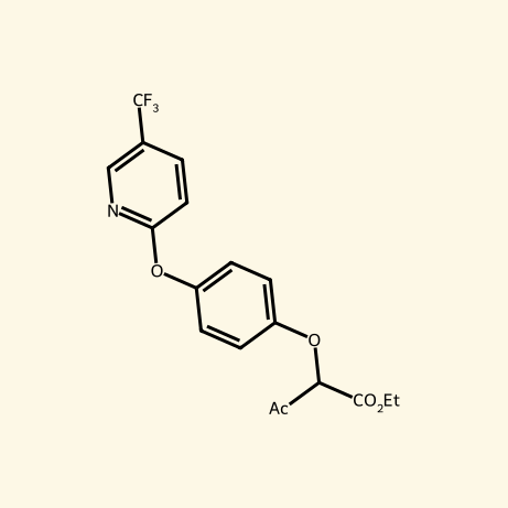 CCOC(=O)C(Oc1ccc(Oc2ccc(C(F)(F)F)cn2)cc1)C(C)=O